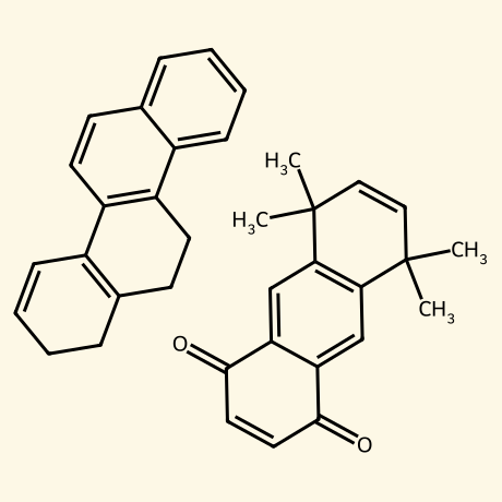 C1=CC2=C(CC1)CCc1c2ccc2ccccc12.CC1(C)C=CC(C)(C)c2cc3c(cc21)C(=O)C=CC3=O